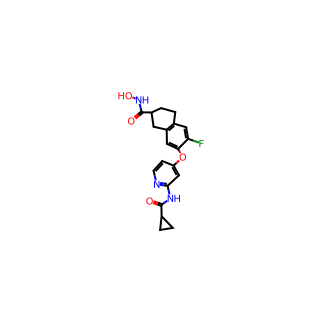 O=C(NO)C1CCc2cc(F)c(Oc3ccnc(NC(=O)C4CC4)c3)cc2C1